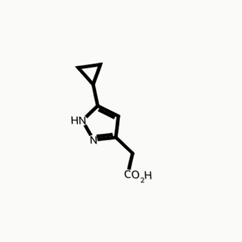 O=C(O)Cc1cc(C2CC2)[nH]n1